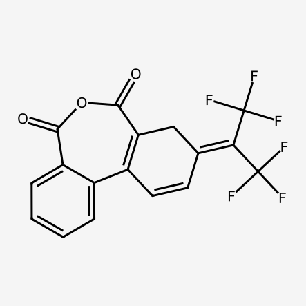 O=c1oc(=O)c2ccccc2c2c1CC(=C(C(F)(F)F)C(F)(F)F)C=C2